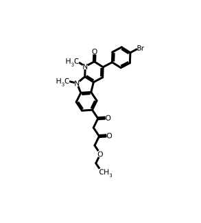 CCOCC(=O)CC(=O)c1ccc2c(c1)c1cc(-c3ccc(Br)cc3)c(=O)n(C)c1n2C